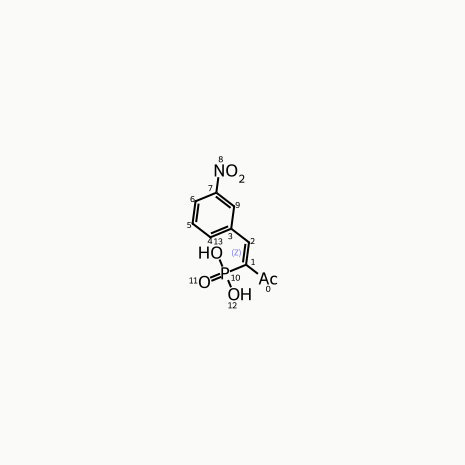 CC(=O)/C(=C/c1cccc([N+](=O)[O-])c1)P(=O)(O)O